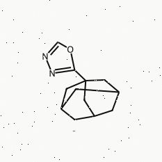 c1nnc(C23CC4CC(CC(C4)C2)C3)o1